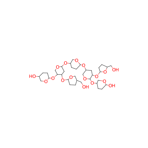 OCC1CCC(OC2CC(OC3CCC(OC4COC(OC5CCC(O)OC5)C(OC5CCC(CO)O5)C4)OC3)OCC2OC2CCC(O)CO2)OC1